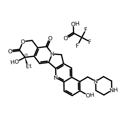 CC[C@@]1(O)C(=O)OCc2c1cc1n(c2=O)Cc2cc3c(CN4CCNCC4)c(O)ccc3nc2-1.O=C(O)C(F)(F)F